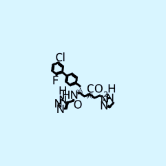 O=C(N[C@H](Cc1ccc(-c2cc(Cl)ccc2F)cc1)C[C@@H](CCn1nccn1)C(=O)O)c1cnn[nH]1